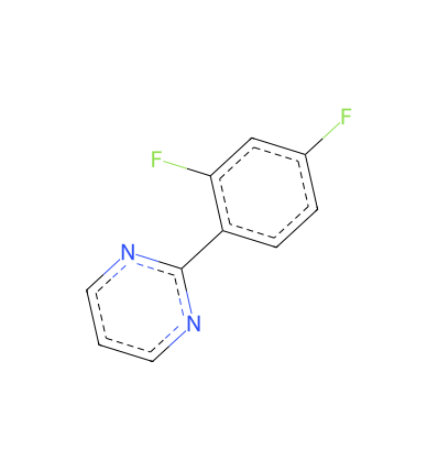 Fc1ccc(-c2ncccn2)c(F)c1